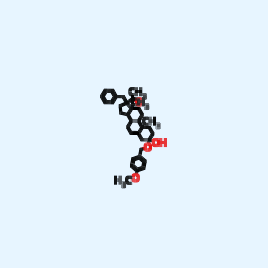 COc1ccc(COC2(O)CCC3(C)C(=CCC4C3CCC3(C)C4CCC3(Cc3ccccc3)C(C)=O)C2)cc1